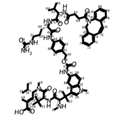 CN[C@@H](C(=O)N[C@H](C(=O)N(C)[C@H](/C=C(\C)C(=O)O)C(C)C)C(C)(C)C)C(C)(C)c1cn(C)c2ccc(NC(=O)OCc3ccc(NC(=O)[C@H](CCCNC(N)=O)NC(=O)[C@@H](NC(=O)CCC(=O)N4Cc5ccccc5C#Cc5ccccc54)C(C)C)cc3)cc12